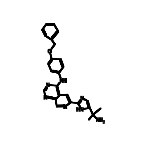 CC(C)(N)c1cnc(-c2cc3c(Nc4ccc(OCc5ccccc5)cc4)ncnc3cn2)[nH]1